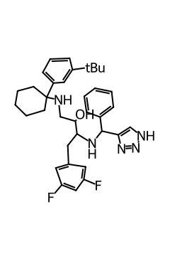 CC(C)(C)c1cccc(C2(NCC(O)C(Cc3cc(F)cc(F)c3)NC(c3ccccc3)c3c[nH]nn3)CCCCC2)c1